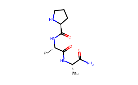 CCCC[C@H](NC(=O)[C@@H](NC(=O)[C@@H]1CCCN1)C(C)C)C(N)=O